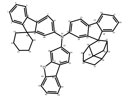 c1ccc2c(c1)-c1ccc(N(c3ccc4c(c3)C3(c5ccccc5-4)C4CC5CC(C4)CC3C5)c3ccc4c(c3)oc3ccccc34)cc1C21CCCCC1